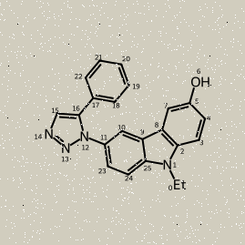 CCn1c2ccc(O)cc2c2cc(-n3nncc3-c3ccccc3)ccc21